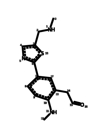 CNCc1cnc(-c2ccc(NC)c(CC=O)c2)s1